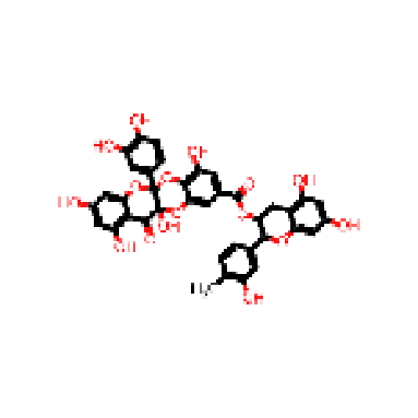 Cc1ccc(C2Oc3cc(O)cc(O)c3CC2OC(=O)c2cc(O)c3c(c2)OC2(O)C(=O)c4c(O)cc(O)cc4OC2(c2ccc(O)c(O)c2)O3)cc1O